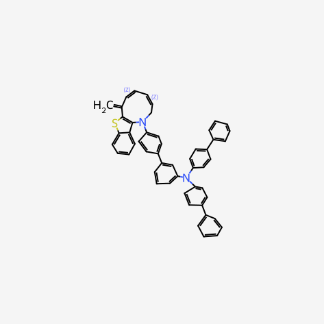 C=C1/C=C\C=C/CN(c2ccc(-c3cccc(N(c4ccc(-c5ccccc5)cc4)c4ccc(-c5ccccc5)cc4)c3)cc2)c2c1sc1ccccc21